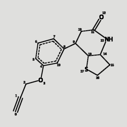 C#CCOc1cccc(C2CC(=O)NC3CCSC32)c1